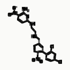 Nc1nc(NCCNCc2ccc([N+](=O)[O-])c(-c3ccc(Cl)cc3Cl)c2)ccc1[N+](=O)[O-]